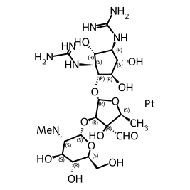 CN[C@@H]1[C@H](O[C@H]2[C@H](O[C@H]3[C@H](O)[C@@H](O)[C@H](NC(=N)N)[C@@H](O)[C@@H]3NC(=N)N)O[C@@H](C)[C@]2(O)C=O)O[C@@H](CO)[C@H](O)[C@H]1O.[Pt]